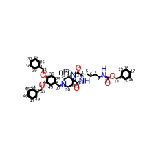 CCCN1C(=O)[C@H](CCCCNC(=O)OCc2ccccc2)NC(=O)C12CCN(Cc1ccc(OCc3ccccc3)c(OCc3ccccc3)c1)CC2